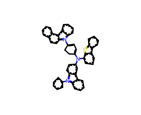 C1=C(N(c2ccc3c(c2)c2ccccc2n3-c2ccccc2)c2cccc3c2sc2ccccc23)CCC(n2c3ccccc3c3c4ccccc4ccc32)=C1